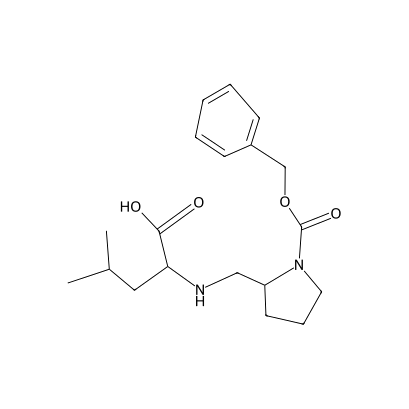 CC(C)CC(NCC1CCCN1C(=O)OCc1ccccc1)C(=O)O